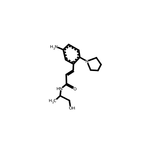 CC(CO)NC(=O)/C=C/c1cc(N)ccc1N1CCCC1